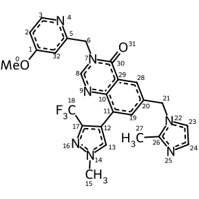 COc1ccnc(Cn2cnc3c(-c4cn(C)nc4C(F)(F)F)cc(Cn4ccnc4C)cc3c2=O)c1